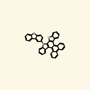 c1ccc2c(c1)oc1c2c2c3ccccc3c3ccccc3c2c2c3ccccc3n(-c3ccc4sc5ccccc5c4c3)c12